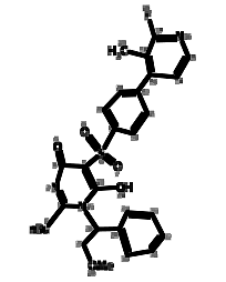 CCCCc1nc(=O)c(S(=O)(=O)c2ccc(-c3ccnc(F)c3C)cc2)c(O)n1C(COC)c1ccccc1